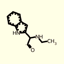 CCNC([C]=O)c1cc2ccccc2[nH]1